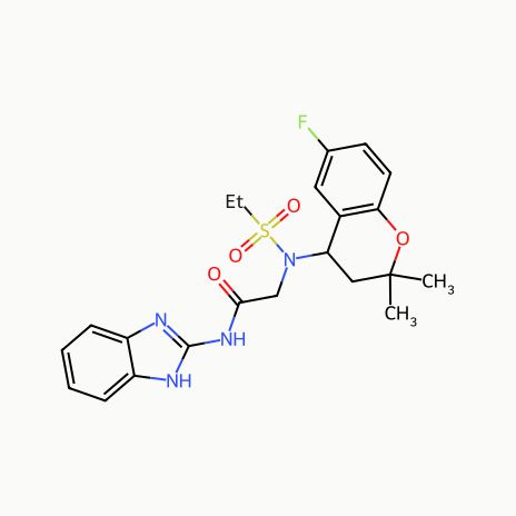 CCS(=O)(=O)N(CC(=O)Nc1nc2ccccc2[nH]1)C1CC(C)(C)Oc2ccc(F)cc21